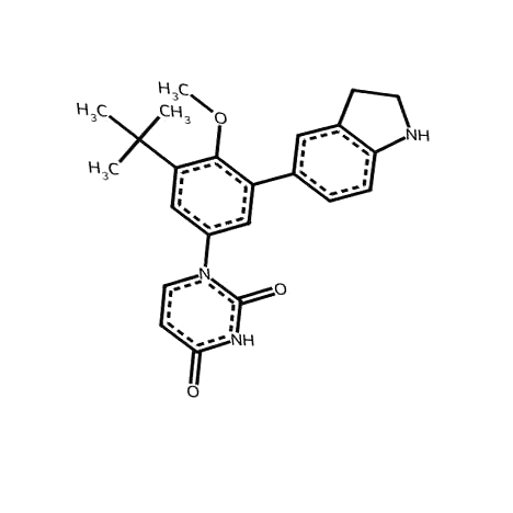 COc1c(-c2ccc3c(c2)CCN3)cc(-n2ccc(=O)[nH]c2=O)cc1C(C)(C)C